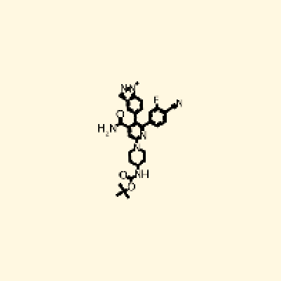 Cn1ncc2cc(-c3c(C(N)=O)cc(N4CCC(NC(=O)OC(C)(C)C)CC4)nc3-c3ccc(C#N)c(F)c3)ccc21